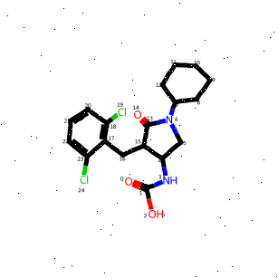 O=C(O)NC1CN(C2CCCCC2)C(=O)C1Cc1c(Cl)cccc1Cl